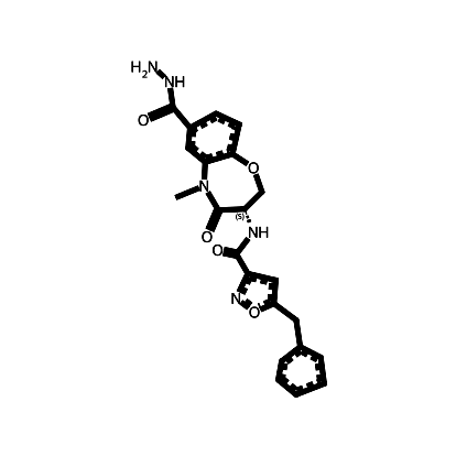 CN1C(=O)[C@@H](NC(=O)c2cc(Cc3ccccc3)on2)COc2ccc(C(=O)NN)cc21